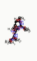 CC(C)(C)OC(=O)NCCC[C@@H](CNC(=O)C[C@H](CCCNC(=O)C1Cc2cc(ccc2O)-c2ccc(O)c(c2)C[C@H](NC(=O)OC(C)(C)C)C(=O)N[C@@H](CCCNC(=O)OC(C)(C)C)C(=O)N1)NC(=O)OC(C)(C)C)NC(=O)OC(C)(C)C